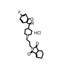 Cl.O=C1C2=CCCCC2C(=O)N1CCCN1CCC(c2noc3cc(F)ccc23)CC1